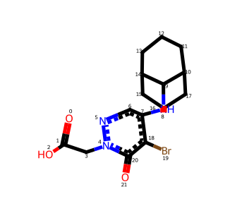 O=C(O)Cn1ncc(NC2C3CCCC2CCC3)c(Br)c1=O